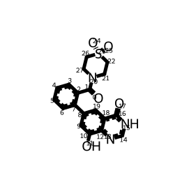 O=C(c1ccccc1-c1cc(O)c2nc[nH]c(=O)c2c1)N1CCS(=O)(=O)CC1